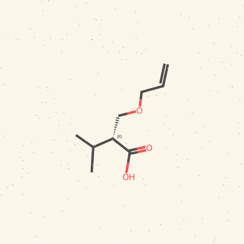 C=CCOC[C@H](C(=O)O)C(C)C